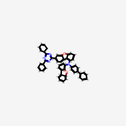 C1=CCC(c2nc(-c3ccccc3)nc(-c3ccc4c(c3)oc3cccc(N(c5ccc(-c6ccccc6)cc5)c5cccc6c5oc5ccccc56)c34)n2)C=C1